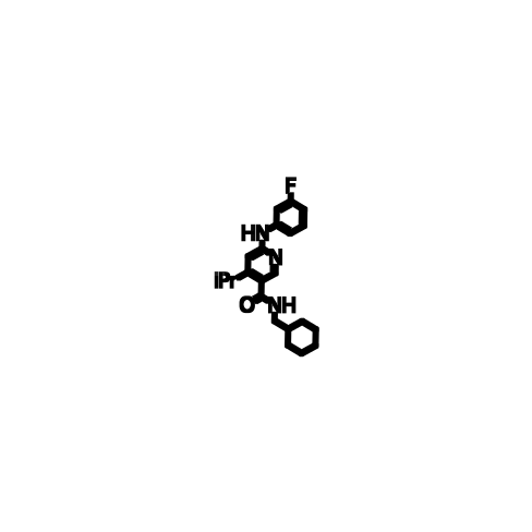 CC(C)c1cc(Nc2cccc(F)c2)ncc1C(=O)NCC1CCCCC1